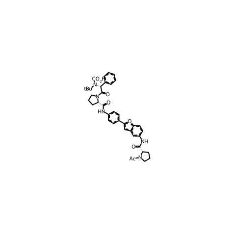 CC(=O)N1CCC[C@H]1C(=O)Nc1ccc2oc(-c3ccc(NC(=O)[C@@H]4CCCN4C(=O)[C@@H](c4ccccc4)N(C(=O)O)C(C)(C)C)cc3)cc2c1